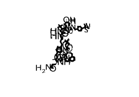 Cc1ncsc1-c1ccc(CNC(=O)[C@@H]2C[C@@H](O)CN2C(=O)C(NC(=O)NCCCc2ccc(CO[C@H](C)[C@H](CCC(N)=O)NC(=O)[C@@H]3Cc4cccc5c4N3C(=O)[C@@H](NC(=O)OC(C)(C)C)CC5)cc2)C(C)(C)C)cc1